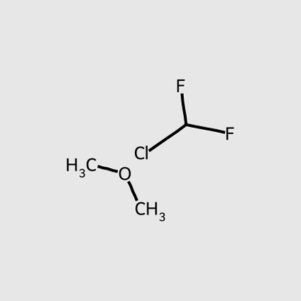 COC.FC(F)Cl